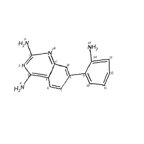 Nc1nc(N)c2ccc(-c3ccccc3N)cc2n1